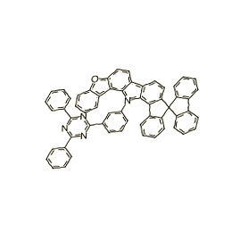 c1ccc(-c2nc(-c3ccccc3)nc(-c3cccc(-n4c5c6c(ccc5c5ccc7oc8ccccc8c7c54)C4(c5ccccc5-c5ccccc54)c4ccccc4-6)c3)n2)cc1